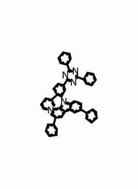 c1ccc(-c2ccc3c(c2)c2cc(-c4ccccc4)ccc2n3-c2cc(-c3nc(-c4ccccc4)nc(-c4ccccc4)n3)ccc2-c2cccnc2)cc1